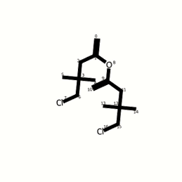 C=C(CC(C)(C)CCl)OC(=C)CC(C)(C)CCl